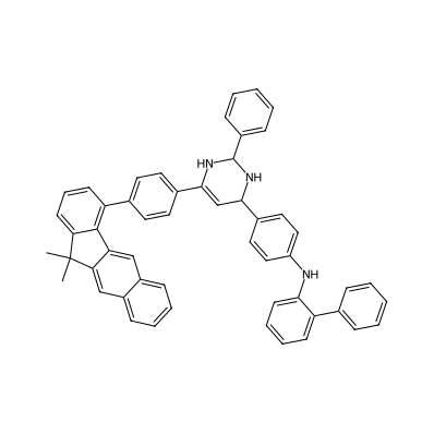 CC1(C)c2cc3ccccc3cc2-c2c(-c3ccc(C4=CC(c5ccc(Nc6ccccc6-c6ccccc6)cc5)NC(c5ccccc5)N4)cc3)cccc21